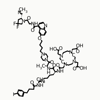 C/N=C/[C@H]1CC(F)(F)CN1C(=O)CNC(=O)c1ccnc2ccc(OCCCCN3CCN(C(=O)[C@H](C)NC(=O)[C@H](CCCC/N=C(\C)NC(=O)CCCc4ccc(I)cc4)NC(=O)CN4CCN(CC(=O)O)CCN(CC(=O)O)CCN(CC(=O)O)CC4)CC3)cc12